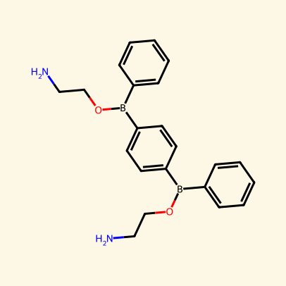 NCCOB(c1ccccc1)c1ccc(B(OCCN)c2ccccc2)cc1